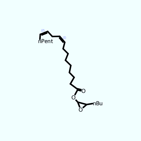 CCCCC/C=C\C/C=C\CCCCCCCC(=O)OC1OC1CCCC